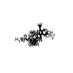 [2H]C([2H])([2H])C([2H])(C([2H])([2H])[2H])[C@@]1([2H])N(C(=O)CCC(=O)OC)C([2H])([2H])C([2H])([2H])N(c2nc(C3CC3)c3c(c2C#N)CC(C)(C)OC3)C1([2H])[2H]